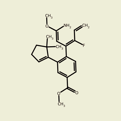 C=C/C(F)=C(\C=C(/N)OC)c1ccc(C(=O)OC)cc1C1=CCCC1(C)C